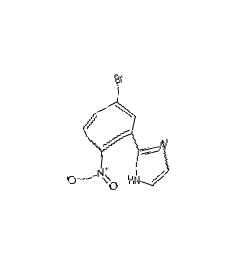 O=[N+]([O-])c1ccc(Br)cc1-c1ncc[nH]1